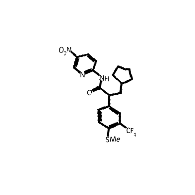 CSc1ccc(C(CC2CCCC2)C(=O)Nc2ccc([N+](=O)[O-])cn2)cc1C(F)(F)F